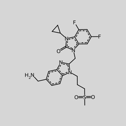 CS(=O)(=O)CCCn1c(Cn2c(=O)n(C3CC3)c3c(F)cc(F)cc32)nc2cc(CN)ccc21